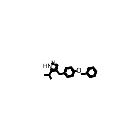 CC(C)c1[nH]ncc1Cc1ccc(OCc2ccccc2)cc1